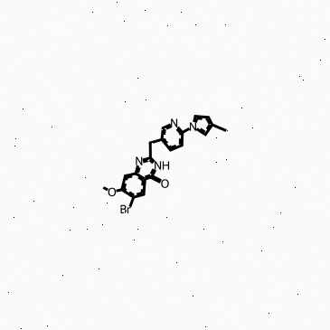 COc1cc2nc(Cc3ccc(-n4ccc(C)c4)nc3)[nH]c(=O)c2cc1Br